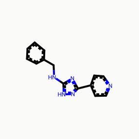 c1ccc(CNc2nc(-c3ccncc3)n[nH]2)cc1